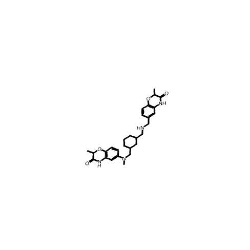 CC1Oc2ccc(CNCC3CCCC(CN(C)c4ccc5c(c4)NC(=O)C(C)O5)C3)cc2NC1=O